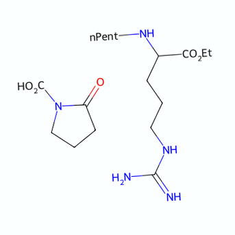 CCCCCNC(CCCNC(=N)N)C(=O)OCC.O=C(O)N1CCCC1=O